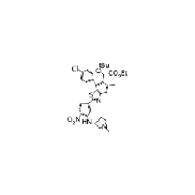 CCOC(=O)[C@@H](OC(C)(C)C)c1c(C)cc2nc(-c3ccc([N+](=O)[O-])c(N[C@@H]4CCN(C)C4)c3)sc2c1-c1ccc(Cl)cc1